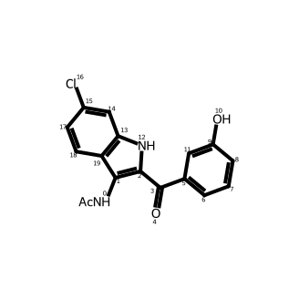 CC(=O)Nc1c(C(=O)c2cccc(O)c2)[nH]c2cc(Cl)ccc12